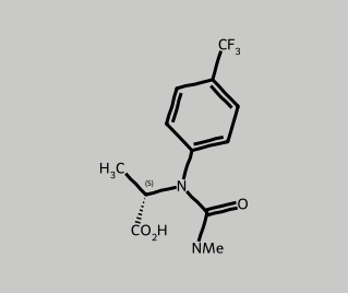 CNC(=O)N(c1ccc(C(F)(F)F)cc1)[C@@H](C)C(=O)O